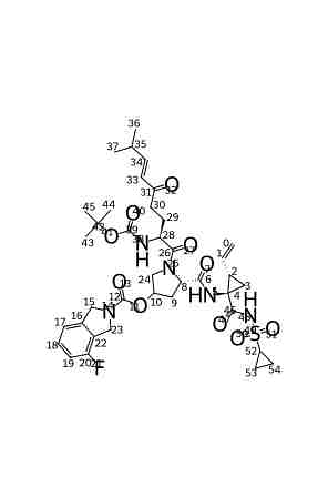 C=C[C@@H]1C[C@]1(NC(=O)[C@@H]1CC(OC(=O)N2Cc3cccc(F)c3C2)CN1C(=O)[C@H](CCC(=O)/C=C/C(C)C)NC(=O)OC(C)(C)C)C(=O)NS(=O)(=O)C1CC1